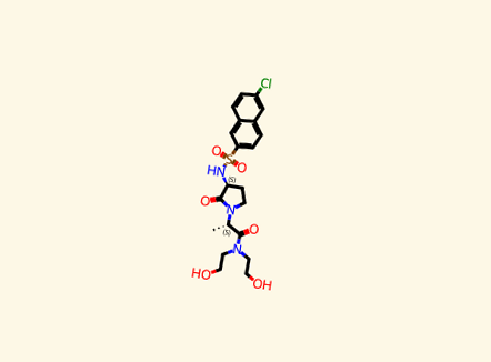 C[C@@H](C(=O)N(CCO)CCO)N1CC[C@H](NS(=O)(=O)c2ccc3cc(Cl)ccc3c2)C1=O